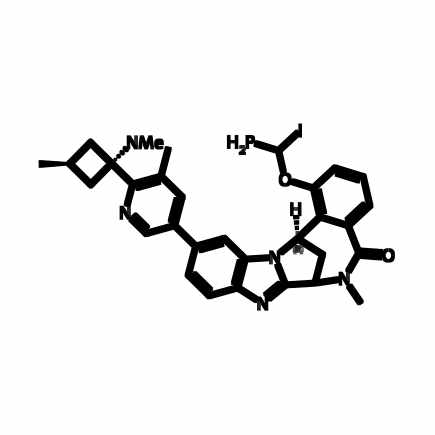 CN[C@]1(c2ncc(-c3ccc4nc5n(c4c3)[C@@H]3CC5N(C)C(=O)c4cccc(OC(P)I)c43)cc2C)C[C@@H](C)C1